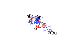 CCCO[C@H](C[C@H](C(C)C)N(CCC)C(=O)[C@@H](NC(=O)[C@H]1CCCCN1C)[C@@H](C)CC)c1nc(C(=O)N[C@@H](Cc2ccc(OC(=O)NCCCCNC(=O)OC(C)(C)C)cc2)C[C@H](C)C(=O)OCc2ccccc2)cs1